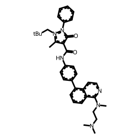 Cc1c(C(=O)Nc2ccc(-c3cccc4c(N(C)CCN(C)C)nccc34)cc2)c(=O)n(-c2ccccc2)n1CC(C)(C)C